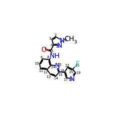 Cn1ccc(C(=O)Nc2cccc3ccc(-c4cncc(F)c4)nc23)n1